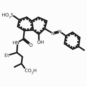 CCC(CC(C)C(=O)O)NC(=O)c1cc(S(=O)(=O)O)cc2ccc(/N=N/c3ccc(C)cc3)c(O)c12